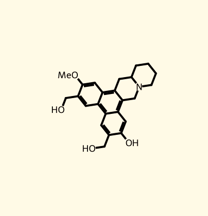 COc1cc2c3c(c4cc(O)c(CO)cc4c2cc1CO)CN1CCCCC1C3